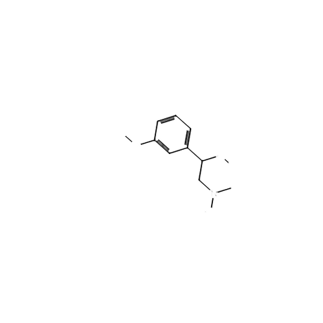 [2H]Oc1cccc(C(CN([2H])C)O[2H])c1